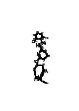 CN1CCC(Oc2cccc(NC(=O)c3c(F)cccc3Cl)n2)CC1